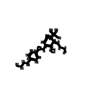 CCC/C=C1\C(Cl)=C(COc2ccc(CCCC)cc2)C=NN1C(C)(C)C